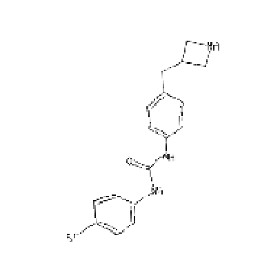 O=C(Nc1ccc(CC2CNC2)cc1)Nc1ccc(C(F)(F)F)cc1